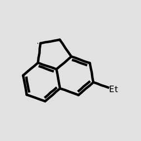 CCc1cc2c3c(cccc3c1)[CH]C2